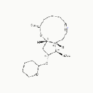 CCCCCCCCCC[C@@H]1[C@H]2C/C=C\CCCC(=O)O[C@H]2C[C@H]1OC1CCCCO1